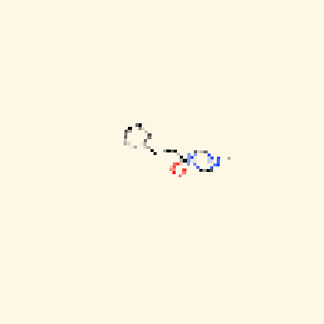 CN1CCN(C(=O)CCC2C=CC=CC2)CC1